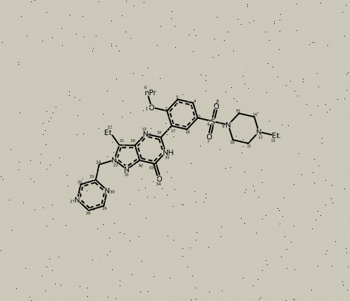 CCCOc1ccc(S(=O)(=O)N2CCN(CC)CC2)cc1-c1nc2c(CC)n(Cc3cnccn3)nc2c(=O)[nH]1